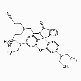 CCN(CC)c1ccc2c(c1)Oc1cc(N(CC)CC)ccc1C21c2ccccc2C(=O)N1CCN(CCC#N)CCC#N